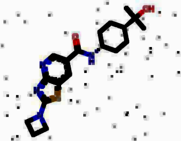 CC(C)(O)[C@H]1CC[C@H](NC(=O)c2cnc3nc(N4CCC4)sc3c2)CC1